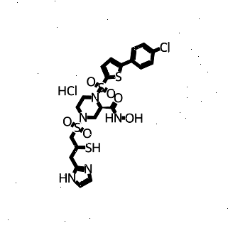 Cl.O=C(NO)[C@H]1CN(S(=O)(=O)CC(S)Cc2ncc[nH]2)CCN1S(=O)(=O)c1ccc(-c2ccc(Cl)cc2)s1